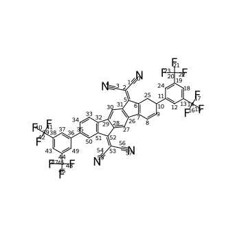 N#CC(C#N)=C1C2=C(C=CC(c3cc(C(F)(F)F)cc(C(F)(F)F)c3)C2)c2cc3c(cc21)-c1ccc(-c2cc(C(F)(F)F)cc(C(F)(F)F)c2)cc1C3=C(C#N)C#N